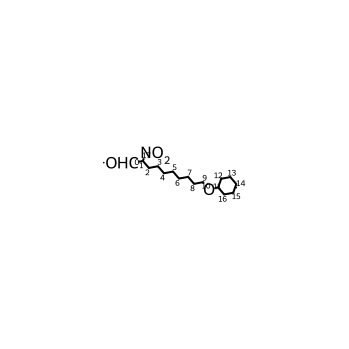 O=[C]C(CCCCCCCCOC1CC[CH]CC1)[N+](=O)[O-]